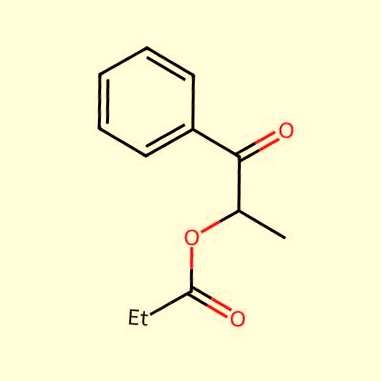 CCC(=O)OC(C)C(=O)c1ccccc1